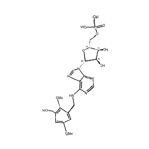 COc1cc(O)c(OC)c(CNc2ncnc3c2ncn3[C@@H]2O[C@H](COP(=O)(O)O)[C@@H](O)[C@H]2O)c1